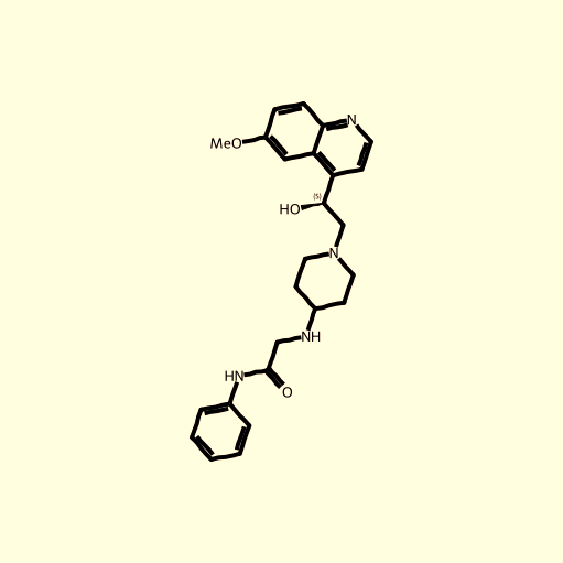 COc1ccc2nccc([C@H](O)CN3CCC(NCC(=O)Nc4ccccc4)CC3)c2c1